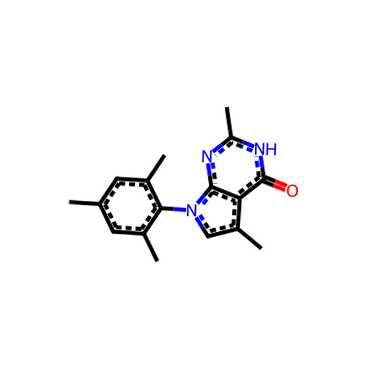 Cc1cc(C)c(-n2cc(C)c3c(=O)[nH]c(C)nc32)c(C)c1